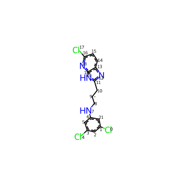 Clc1cc(Cl)cc(NC[CH]Cc2nc3ccc(Cl)nc3[nH]2)c1